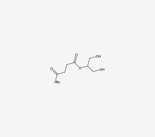 CCCCC(=O)CCC(=O)OC(CO)CO